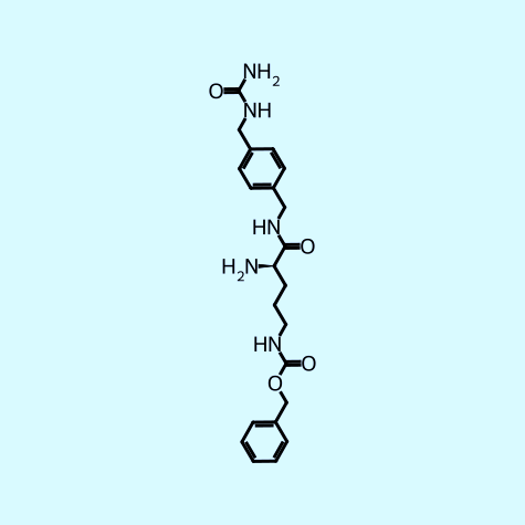 NC(=O)NCc1ccc(CNC(=O)[C@H](N)CCCNC(=O)OCc2ccccc2)cc1